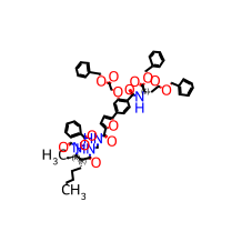 CCCCC[C@@H](C(=O)NCNC(=O)c1ccc(-c2ccc(C(=O)N[C@@H](CC(=O)OCc3ccccc3)C(=O)OCc3ccccc3)c(OCC(=O)OCc3ccccc3)c2)o1)[C@@H](CC)N(C=O)OC(=O)c1ccccc1